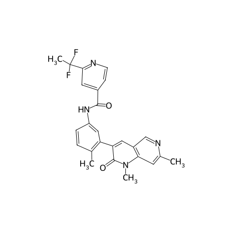 Cc1cc2c(cn1)cc(-c1cc(NC(=O)c3ccnc(C(C)(F)F)c3)ccc1C)c(=O)n2C